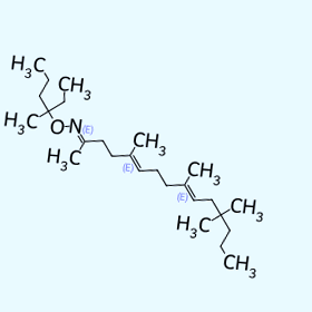 CCCC(C)(C)C/C=C(\C)CC/C=C(\C)CC/C(C)=N/OC(C)(CC)CCC